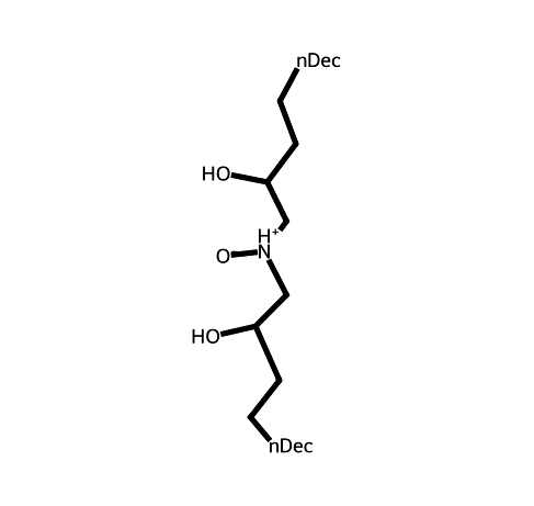 CCCCCCCCCCCCC(O)C[NH+]([O-])CC(O)CCCCCCCCCCCC